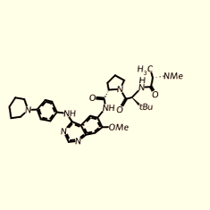 CN[C@@H](C)C(=O)N[C@H](C(=O)N1CCC[C@H]1C(=O)Nc1cc2c(Nc3ccc(N4CCCCC4)cc3)ncnc2cc1OC)C(C)(C)C